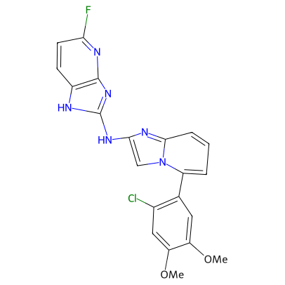 COc1cc(Cl)c(-c2cccc3nc(Nc4nc5nc(F)ccc5[nH]4)cn23)cc1OC